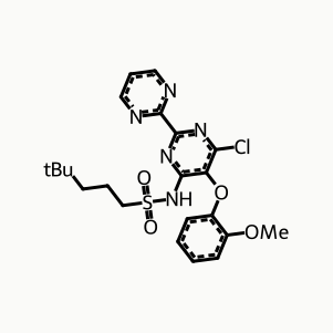 COc1ccccc1Oc1c(Cl)nc(-c2ncccn2)nc1NS(=O)(=O)CCCC(C)(C)C